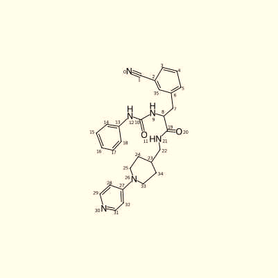 N#Cc1cccc(CC(NC(=O)Nc2ccccc2)C(=O)NCC2CCN(c3ccncc3)CC2)c1